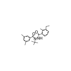 CCc1cccc(C(=O)NN(C(=O)c2cc(C)cc(C)c2)C(C)(C)C)c1C